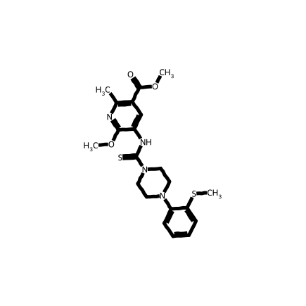 COC(=O)c1cc(NC(=S)N2CCN(c3ccccc3SC)CC2)c(OC)nc1C